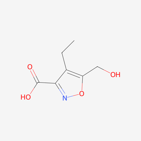 CCc1c(C(=O)O)noc1CO